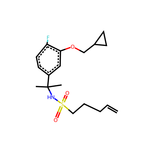 C=CCCCS(=O)(=O)NC(C)(C)c1ccc(F)c(OCC2CC2)c1